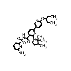 CCC(CC)Oc1ccc(-c2ccc(C(=O)NS(=O)(=O)c3cccc(N)n3)c(N3CCC(C)C3(C)C)n2)cn1